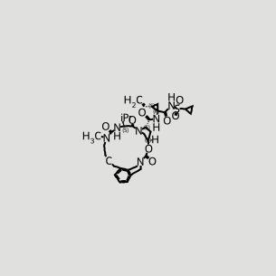 C=C[C@@H]1C[C@]1(NC(=O)[C@@H]1C[C@@H]2CN1C(=O)[C@H](C(C)C)NC(=O)N(C)CCCCc1cccc3c1CN(C3)C(=O)O2)C(=O)NS(=O)(=O)C1CC1